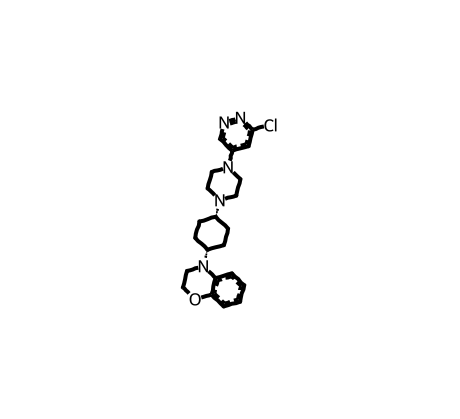 Clc1cc(N2CCN([C@H]3CC[C@@H](N4CCOc5ccccc54)CC3)CC2)cnn1